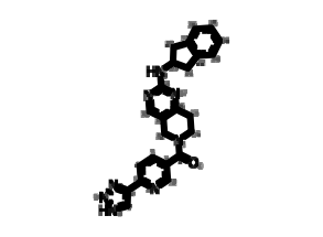 O=C(c1ccc(-c2c[nH]nn2)nc1)N1CCc2nc(NC3Cc4ccccc4C3)ncc2C1